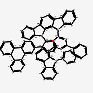 c1ccc(-c2nc(-c3cccc4c5ccccc5n(-c5ccccc5)c34)nc(-n3c4ccccc4c4ccc5c6ccccc6n(-c6ccccc6-c6ccc7c8ccccc8c8ccccc8c7c6)c5c43)n2)cc1